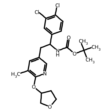 Cc1cc(CC(NC(=O)OC(C)(C)C)c2ccc(Cl)c(Cl)c2)cnc1OC1CCOC1